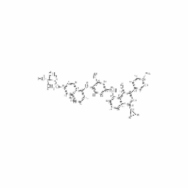 CC(C)(O)COc1ccc2c(Oc3ccc(Nc4nccc5c4c(=O)c(-c4ccc(F)cc4)cn5C4CC4)cc3F)ccnc2c1